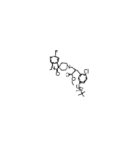 CCOC(=O)C(Cc1cc(O[Si](C)(C)C(C)(C)C)ccc1Cl)CN1CCC2(CC1)C(=O)N(C)c1ccc(F)cc12